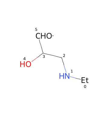 CCNCC(O)[C]=O